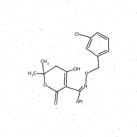 CCCC(=NOCc1cccc(Cl)c1)C1=C(O)CC(C)(C)OC1=O